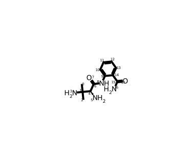 CC(C)(N)[C@H](N)C(=O)Nc1ccccc1C(N)=O